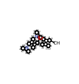 C#Cc1ccc2c(c1)C1(c3ccccc3-c3ccccc31)c1cc(C(=O)c3ccc4c(c3)C3(c5ccccc5-4)c4cc(-n5c6ccccc6c6ccccc65)ccc4-c4ccc(-n5c6ccccc6c6ccccc65)cc43)ccc1-2